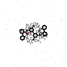 CC(C)(C)c1cc(-c2cc(C(C)(C)C)cc(C(C)(C)C)c2Op2oc3ccccc3c3ccccc3o2)c(Op2oc3ccccc3c3ccccc3o2)c(C(C)(C)C)c1